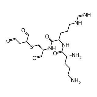 N=CNCCCC(NC(=O)[C@H](N)CCCN)C(=O)N[C@@H](C=O)CSC(C=O)CC=O